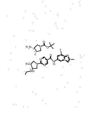 CC(C)(C)OC(=O)N1C[C@@H](N)[C@@H](F)C1.CCN[C@@H]1CN(c2ncc(C(=O)Nc3cc(F)c4nc(C)cn4c3)cn2)C[C@@H]1F